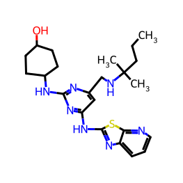 CCCC(C)(C)NCc1cc(Nc2nc3cccnc3s2)nc(NC2CCC(O)CC2)n1